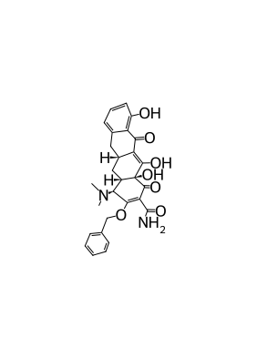 CN(C)[C@@H]1C(OCc2ccccc2)=C(C(N)=O)C(=O)[C@@]2(O)C(O)=C3C(=O)c4c(O)cccc4C[C@H]3C[C@@H]12